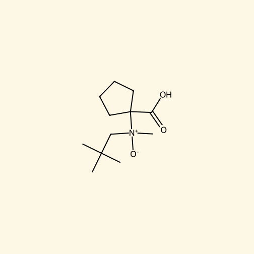 CC(C)(C)C[N+](C)([O-])C1(C(=O)O)CCCC1